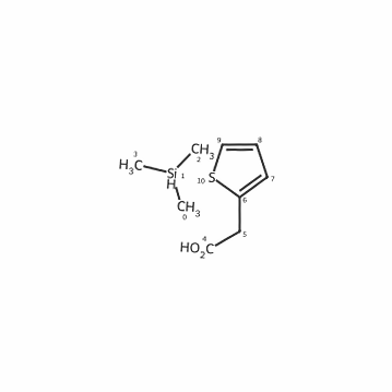 C[SiH](C)C.O=C(O)Cc1cccs1